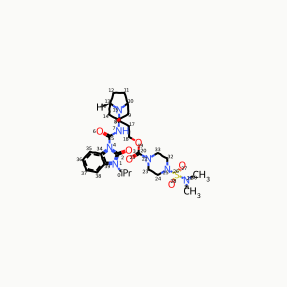 CC(C)n1c(=O)n(C(=O)N[C@@H]2CC3CC[C@@H](C2)N3CCCOC(=O)N2CCN(S(=O)(=O)N(C)C)CC2)c2ccccc21